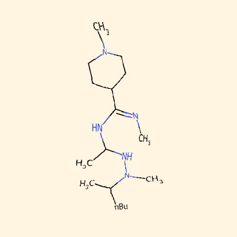 CCCCC(C)N(C)NC(C)N/C(=N\C)C1CCN(C)CC1